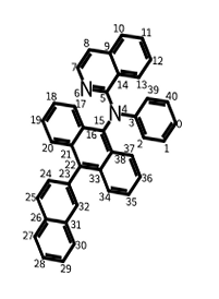 c1ccc(N(c2nccc3ccccc23)c2c3ccccc3c(-c3ccc4ccccc4c3)c3ccccc23)cc1